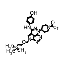 CCC(=O)N1CCC(N2N=C(Nc3ccc(O)cc3)c3cn(COCC[Si](C)(C)C)c4ncnc2c34)CC1